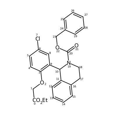 CCOC(=O)COc1ccc(Cl)cc1C1c2ccccc2CCN1C(=O)OCc1ccccc1